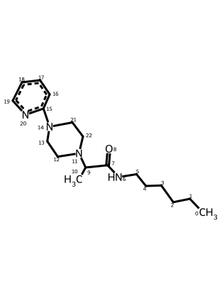 CCCCCCNC(=O)C(C)N1CCN(c2ccccn2)CC1